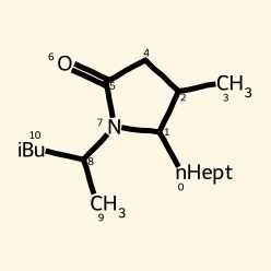 CCCCCCCC1C(C)CC(=O)N1C(C)C(C)CC